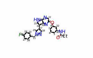 CCC(=O)Nc1cccc(Oc2cnc3[nH]cc(-c4cnn(Cc5ccc(F)cc5)c4)c3n2)c1